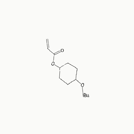 C=CC(=O)OC1CCC(OC(C)CC)CC1